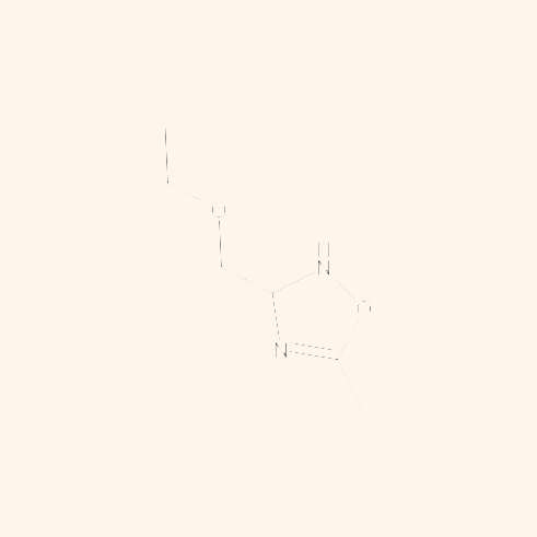 CCOCC1N=C(C)ON1